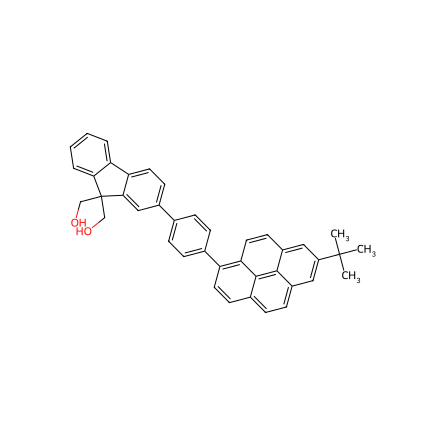 CC(C)(C)c1cc2ccc3ccc(-c4ccc(-c5ccc6c(c5)C(CO)(CO)c5ccccc5-6)cc4)c4ccc(c1)c2c34